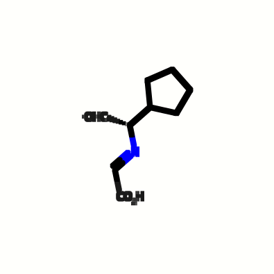 O=[C][C@@H](N=CC(=O)O)C1CCCC1